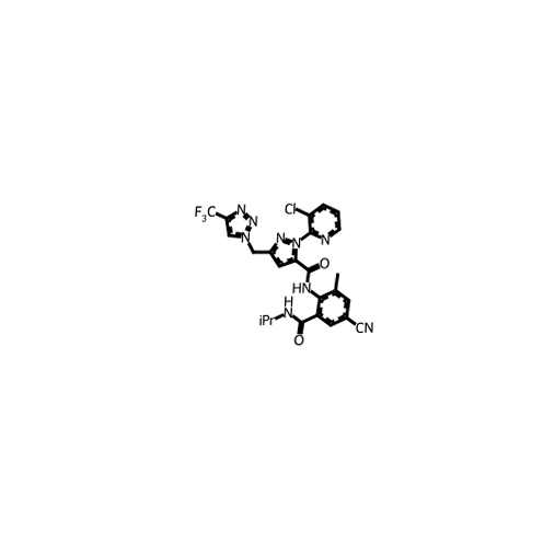 Cc1cc(C#N)cc(C(=O)NC(C)C)c1NC(=O)c1cc(Cn2cc(C(F)(F)F)nn2)nn1-c1ncccc1Cl